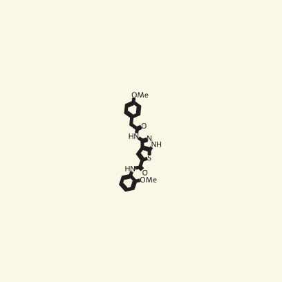 COc1ccc(CC(=O)Nc2n[nH]c3sc(C(=O)Nc4ccccc4OC)cc23)cc1